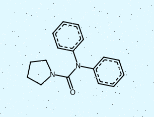 O=C(N1CCCC1)N(c1cc[c]cc1)c1ccccc1